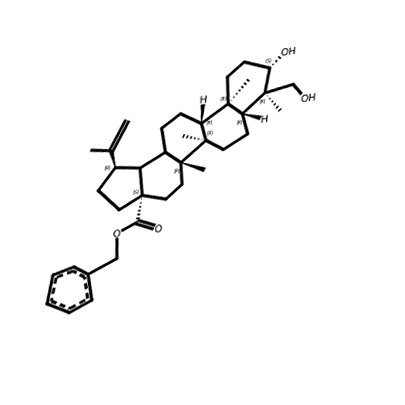 C=C(C)[C@@H]1CC[C@]2(C(=O)OCc3ccccc3)CC[C@]3(C)C(CC[C@@H]4[C@@]5(C)CC[C@H](O)[C@@](C)(CO)[C@@H]5CC[C@]43C)C12